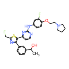 CC(O)c1cccc(-c2nc(CF)sc2-c2ccnc(Nc3ccc(OCCN4CCCC4)c(F)c3)n2)c1